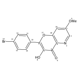 COc1cnc2c(=O)c(O)c(-c3ccc(Br)cc3)oc2c1